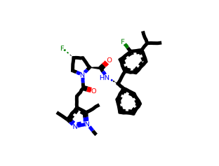 Cc1nn(C)c(C)c1CC(=O)N1C[C@H](F)C[C@H]1C(=O)N[C@@H](c1ccccc1)c1ccc(C(C)C)c(F)c1